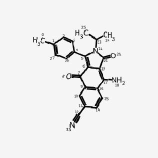 Cc1ccc(C2=C3C(=O)c4cc(C#N)ccc4C(N)=C3C(=O)N2C(C)C)cc1